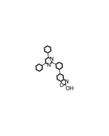 Oc1nc2cc(-c3cccc(-c4nc(-c5ccccc5)cc(-c5ccccc5)n4)c3)ccc2o1